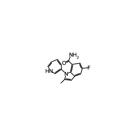 Cc1cc2cc(F)cc(C(N)=O)c2n1C1=CNC=CC=C1